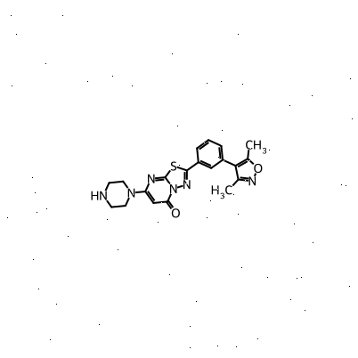 Cc1noc(C)c1-c1cccc(-c2nn3c(=O)cc(N4CCNCC4)nc3s2)c1